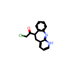 O=C(CCl)C1CC2=CC=CNC2=Nc2ccccc21